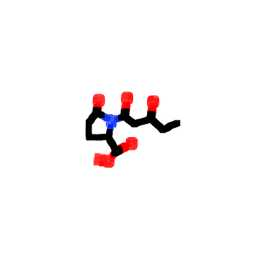 CCC(=O)CC(=O)N1C(=O)CCC1C(=O)O